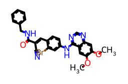 COc1cc2ncnc(Nc3ccc(/C=C(\C#N)C(=O)NCc4ccccc4)c(Br)c3)c2cc1OC